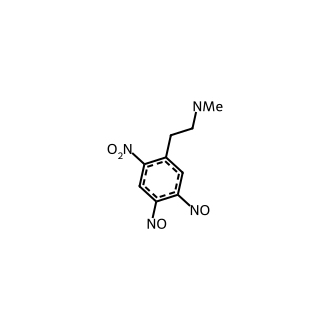 CNCCc1cc(N=O)c(N=O)cc1[N+](=O)[O-]